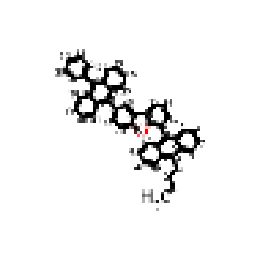 CCCCc1c2ccccc2c(-c2cccc3c2oc2ccc(-c4c5ccccc5c(-c5ccccc5)c5ccccc45)cc23)c2ccccc12